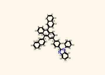 C1=CCC2C=C(c3c4ccccc4c(-c4ccc5ccccc5c4)c4cc(-c5ccc(-c6nc7ccccc7n6-c6ccccc6)cc5)ccc34)C=CC2=C1